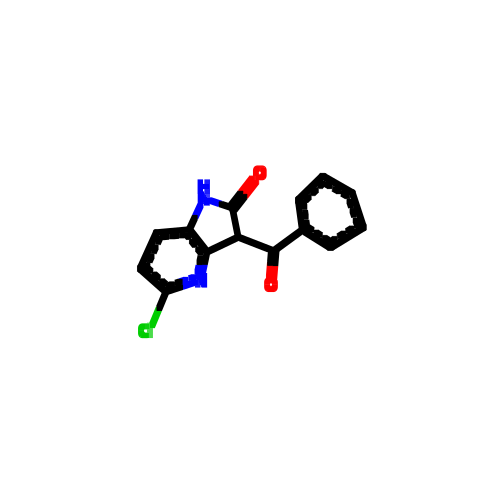 O=C1Nc2ccc(Cl)nc2C1C(=O)c1ccccc1